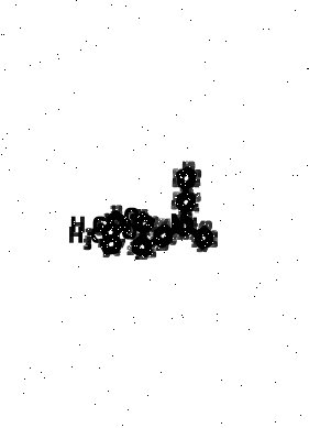 CC1(C)c2ccccc2-c2c1ccc1c2Oc2c(cccc2-c2ccccc2-c2ccc(-c3cc(-c4ccccc4)cc(-c4ccc(-c5ccccc5)cc4)n3)cc2)O1